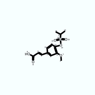 COc1cc(C=CC(=O)O)ccc1OS(=O)(=O)C(C)C